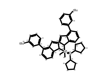 CC(C)(C)c1cccc(-c2cccc3c2C=C[CH]3[Hf]([CH3])([CH3])([CH]2C=Cc3c(-c4cccc(C(C)(C)C)c4)cccc32)=[Si](C2CCCC2)C2CCCC2)c1